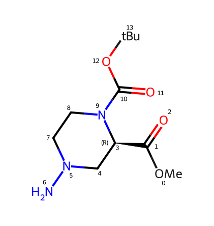 COC(=O)[C@H]1CN(N)CCN1C(=O)OC(C)(C)C